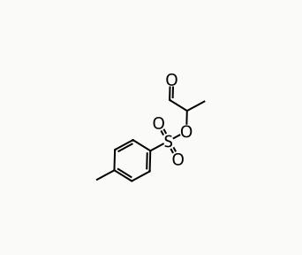 Cc1ccc(S(=O)(=O)OC(C)C=O)cc1